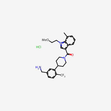 COCCn1cc(C(=O)N2CCC(c3cc(CN)ccc3C(F)(F)F)CC2)c2cccc(C)c21.Cl